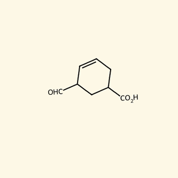 O=CC1C=CCC(C(=O)O)C1